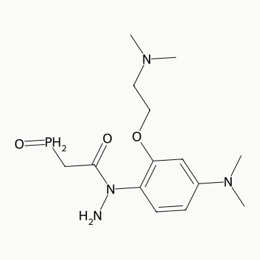 CN(C)CCOc1cc(N(C)C)ccc1N(N)C(=O)C[PH2]=O